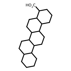 O=C(O)C1CCCC2C1CCC1C3CCC4CCCCC4C3CCC21